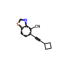 N#Cc1c(C#CC2CCC2)ccc2scnc12